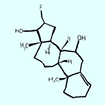 C[C@]12CCCC=C1CC(O)[C@@H]1[C@H]2CC[C@]2(C)C(O)C(F)C[C@@H]12